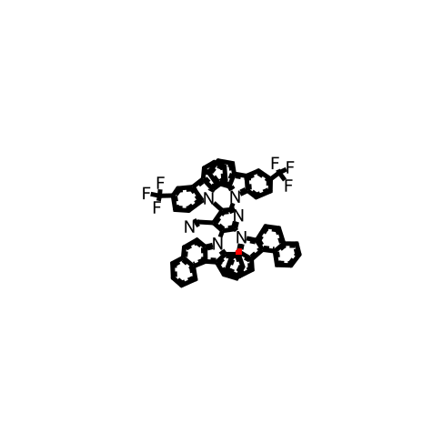 N#Cc1c(-n2c3ccccc3c3cc(C(F)(F)F)ccc32)c(-n2c3ccccc3c3cc(C(F)(F)F)ccc32)nc(-n2c3ccccc3c3c4ccccc4ccc32)c1-n1c2ccccc2c2c3ccccc3ccc21